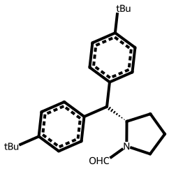 CC(C)(C)c1ccc(C(c2ccc(C(C)(C)C)cc2)[C@@H]2CCCN2C=O)cc1